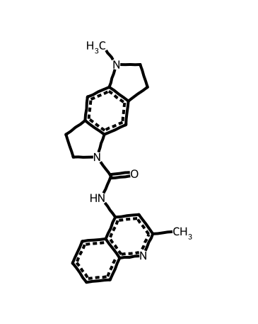 Cc1cc(NC(=O)N2CCc3cc4c(cc32)CCN4C)c2ccccc2n1